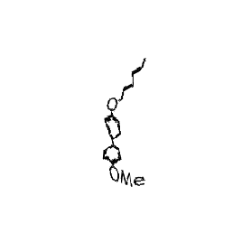 CC=CC=CCOc1ccc(-c2ccc(OC)cc2)cc1